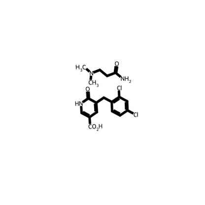 CN(C)CCC(N)=O.O=C(O)c1c[nH]c(=O)c(Cc2ccc(Cl)cc2Cl)c1